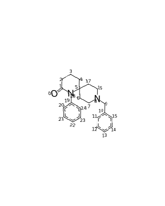 O=C1CCCC2(CCN(Cc3ccccc3)CC2)N1c1ccccc1